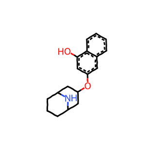 Oc1cc(OC2CC3CCCC(C2)N3)cc2ccccc12